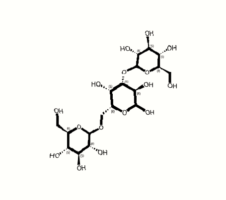 OC[C@H]1OC(OC[C@H]2OC(O)[C@H](O)[C@@H](OC3O[C@H](CO)[C@@H](O)[C@H](O)[C@H]3O)[C@H]2O)[C@H](O)[C@@H](O)[C@@H]1O